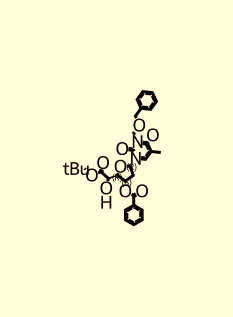 Cc1cn([C@H]2C[C@H](OC(=O)c3ccccc3)[C@@H](C(O)C(=O)OC(C)(C)C)O2)c(=O)n(COCc2ccccc2)c1=O